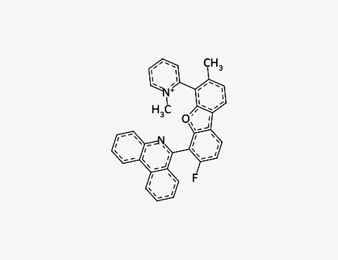 Cc1ccc2c(oc3c(-c4nc5ccccc5c5ccccc45)c(F)ccc32)c1-c1cccc[n+]1C